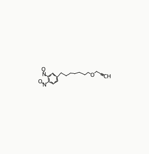 C#CCOCCCCCCCc1ccc(N=O)c(N=O)c1